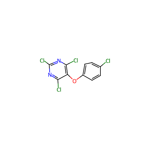 Clc1ccc(Oc2c(Cl)nc(Cl)nc2Cl)cc1